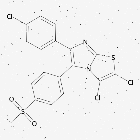 CS(=O)(=O)c1ccc(-c2c(-c3ccc(Cl)cc3)nc3sc(Cl)c(Cl)n23)cc1